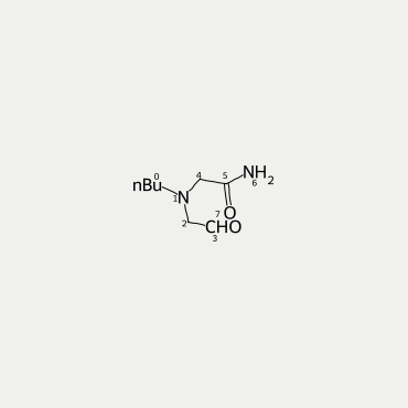 CCCCN(CC=O)CC(N)=O